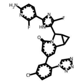 Nc1ccc(-c2nc(F)c(C3C4CC4c4cc(-c5cc(Cl)ccc5-n5cnnn5)cc(=O)n43)[nH]2)c(F)n1